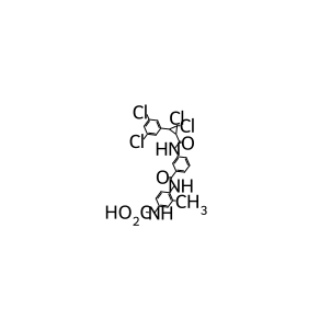 Cc1cc(NC(=O)O)ccc1NC(=O)c1cccc(NC(=O)C2C(c3cc(Cl)cc(Cl)c3)C2(Cl)Cl)c1